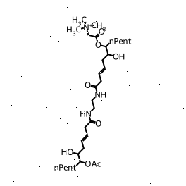 CCCCCC(OC(C)=O)C(O)C/C=C/CC(=O)NCCNC(=O)C/C=C/CC(O)C(CCCCC)OC(=O)C[N+](C)(C)C